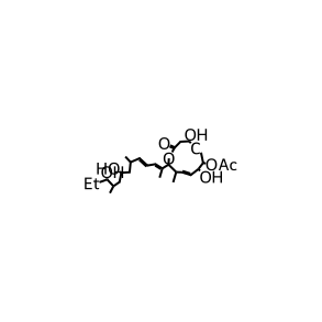 CCC(O)C(C)CC(O)CC(C)/C=C/C=C(\C)C1OC(=O)CC(O)CCC(OC(C)=O)C(O)/C=C/C1C